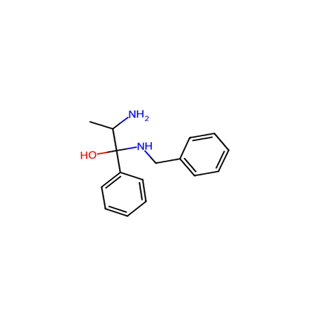 CC(N)C(O)(NCc1ccccc1)c1ccccc1